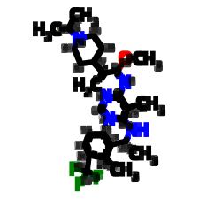 C=C(/C(=N\c1ncnc(N[C@H](C)c2cccc(C(F)(F)F)c2C)c1C)OC)C1CCN(C(C)C)CC1